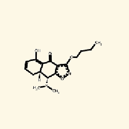 CCCCOc1noc2c1C(=O)C1=C(O)C=CC[C@H]1[C@H]2N(C)C